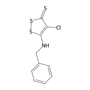 S=c1ssc(NCc2ccccc2)c1Cl